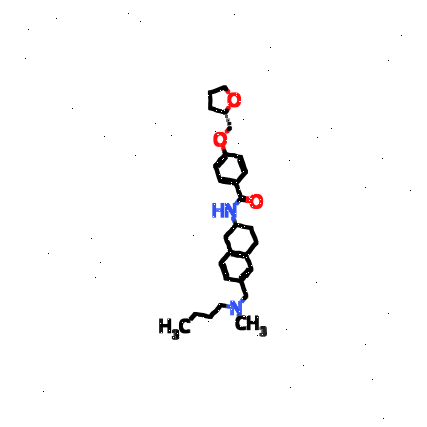 CCCCN(C)Cc1ccc2c(c1)CC[C@H](NC(=O)c1ccc(OC[C@@H]3CCCO3)cc1)C2